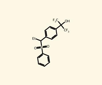 CCC(c1ccc(C(O)(C(F)(F)F)C(F)(F)F)cc1)S(=O)(=O)c1ccccc1